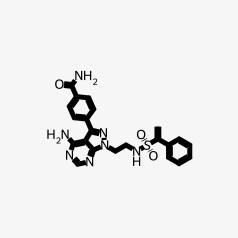 C=C(c1ccccc1)S(=O)(=O)NCCn1nc(-c2ccc(C(N)=O)cc2)c2c(N)ncnc21